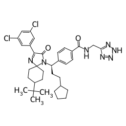 CC(C)(C)C1CCC2(CC1)N=C(c1cc(Cl)cc(Cl)c1)C(=O)N2[C@H](CCC1CCCC1)c1ccc(C(=O)NCc2nn[nH]n2)cc1